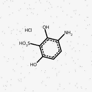 Cl.Nc1ccc(O)c(S(=O)(=O)O)c1O